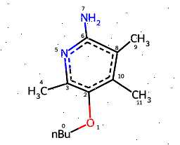 CCCCOc1c(C)nc(N)c(C)c1C